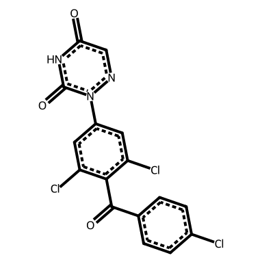 O=C(c1ccc(Cl)cc1)c1c(Cl)cc(-n2ncc(=O)[nH]c2=O)cc1Cl